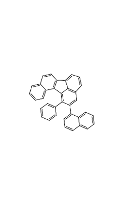 c1ccc(-c2c(-c3cccc4ccccc34)cc3cccc4c3c2-c2c-4ccc3ccccc23)cc1